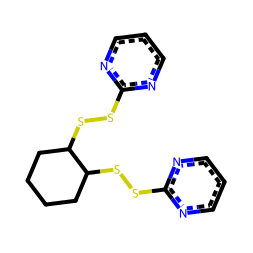 c1cnc(SSC2CCCCC2SSc2ncccn2)nc1